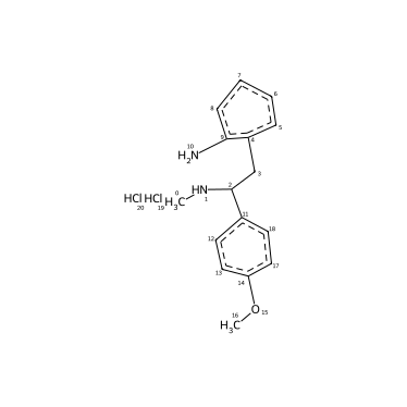 CNC(Cc1ccccc1N)c1ccc(OC)cc1.Cl.Cl